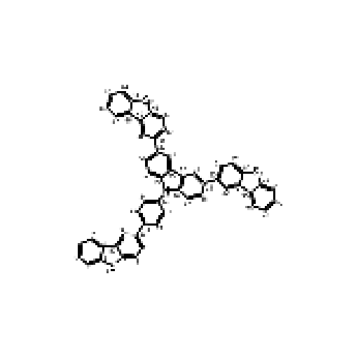 c1ccc2c(c1)sc1ccc(-c3ccc(-n4c5ccc(-c6ccc7sc8ccccc8c7c6)cc5c5cc(-c6ccc7sc8ccccc8c7c6)ccc54)cc3)cc12